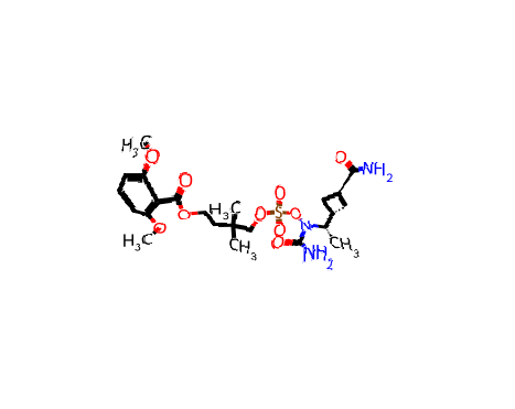 COc1cccc(OC)c1C(=O)OCCC(C)(C)COS(=O)(=O)ON(C(N)=O)[C@@H](C)[C@H]1C[C@H](C(N)=O)C1